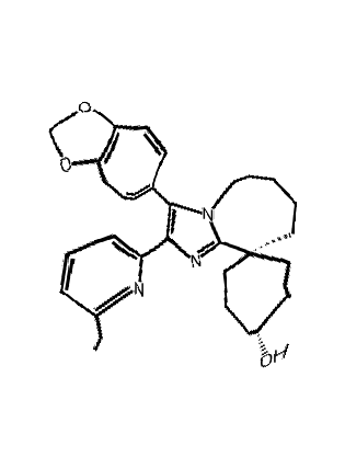 Cc1cccc(-c2nc3n(c2-c2ccc4c(c2)OCO4)CCCC[C@]32CC[C@@H](O)CC2)n1